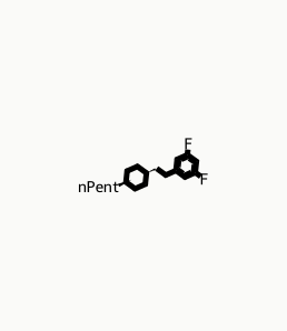 CCCCC[C@H]1CC[C@H](CCc2cc(F)cc(F)c2)CC1